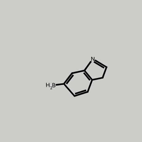 Bc1ccc2c(c1)N=CC2